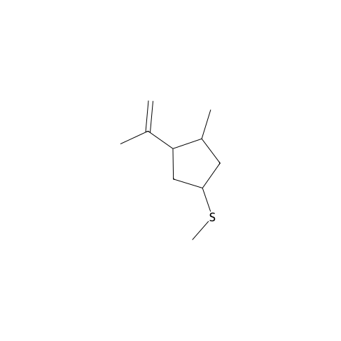 C=C(C)C1CC(SC)CC1C